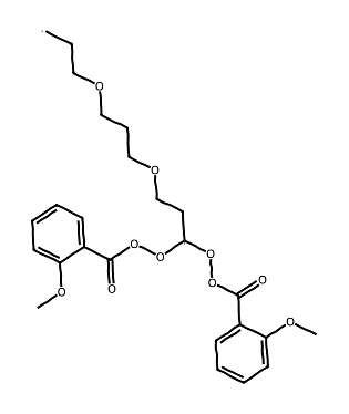 [CH2]CCOCCCOCC[C](OOC(=O)c1ccccc1OC)OOC(=O)c1ccccc1OC